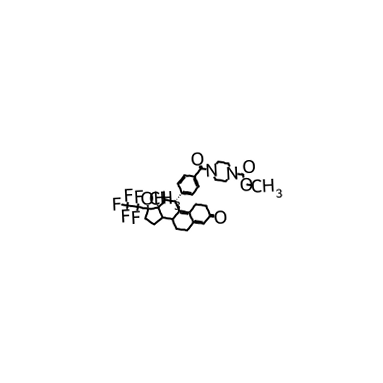 COC(=O)N1CCN(C(=O)c2ccc([C@H]3C[C@@]4(C)C(CC[C@]4(O)C(F)(F)C(F)(F)F)C4CCC5=CC(=O)CCC5=C43)cc2)CC1